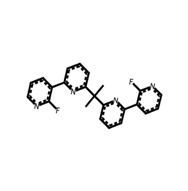 CC(C)(c1cccc(-c2cccnc2F)n1)c1cccc(-c2cccnc2F)n1